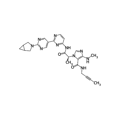 CC#CCNC(=O)c1c(NC)ncn1[C@@H](C)C(=O)Nc1ccnc(-c2cnc(N3CC4CC4C3)nc2)n1